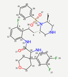 C[C@H]1CNC[C@H](CCc2c(F)cccc2NC(=O)C(N)C2(c3ccc(F)c(F)c3)CCOCC2)N1S(=O)(=O)c1ccccc1